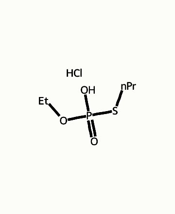 CCCSP(=O)(O)OCC.Cl